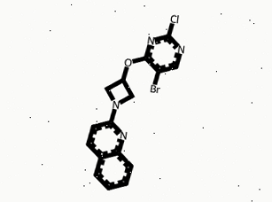 Clc1ncc(Br)c(OC2CN(c3ccc4ccccc4n3)C2)n1